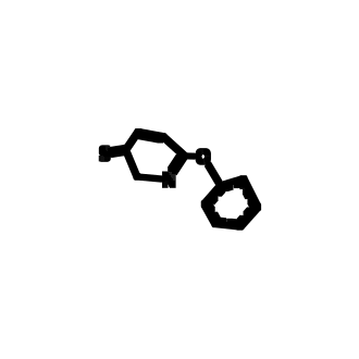 S=C1C=CC(Oc2ccccc2)=NC1